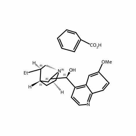 CC[C@H]1C[N@]2CC[C@H]1C[C@@H]2[C@@H](O)c1ccnc2ccc(OC)cc12.O=C(O)c1ccccc1